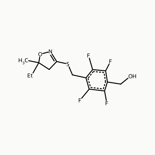 CCC1(C)CC(SCc2c(F)c(F)c(CO)c(F)c2F)=NO1